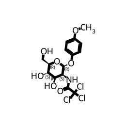 COc1ccc(O[C@H]2O[C@H](CO)[C@@H](O)[C@H](O)[C@@H]2NC(=O)C(Cl)(Cl)Cl)cc1